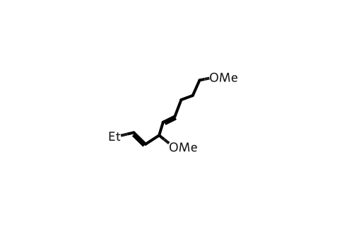 [CH2]CC=CC(C=CCCCOC)OC